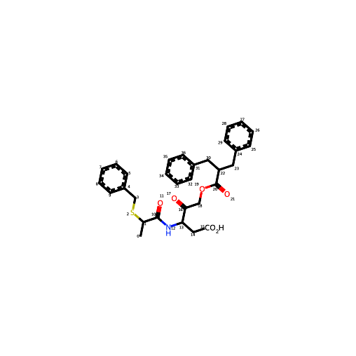 CC(SCc1ccccc1)C(=O)NC(CC(=O)O)C(=O)COC(=O)C(Cc1ccccc1)Cc1ccccc1